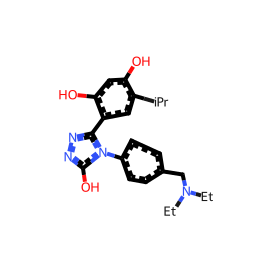 CCN(CC)Cc1ccc(-n2c(O)nnc2-c2cc(C(C)C)c(O)cc2O)cc1